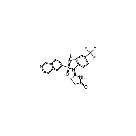 COc1cc(C(F)(F)F)ccc1[N+](=C1NC(=O)CS1)S(=O)(=O)c1ccc2cnccc2c1